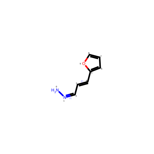 N/N=C\C=C\c1ccco1